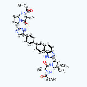 CC[C@H](C)[C@H](NC(=O)OC)C(=O)N1C[Si](C)(C)C[C@H]1c1nc2ccc3cc(-c4ccc(-c5cnc([C@@H]6CCCN6C(=O)[C@@H](NC(=O)OC)C(C)C)[nH]5)cc4)ccc3c2[nH]1